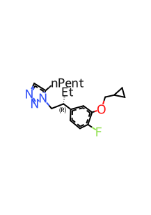 CCCCCc1cnnn1C[C@H](CC)c1ccc(F)c(OCC2CC2)c1